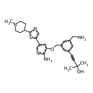 CN1CCC(c2ncc(-c3cnc(N)c(OCc4cc(C#CC(C)(C)O)cc(CN)c4)c3)s2)CC1